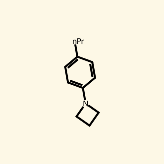 CCCc1ccc(N2CCC2)cc1